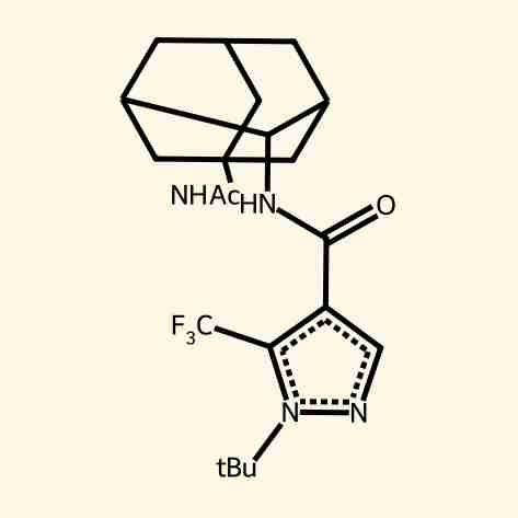 CC(=O)NC12CC3CC(C1)C(NC(=O)c1cnn(C(C)(C)C)c1C(F)(F)F)C(C3)C2